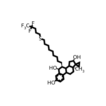 C[C@]12CCC3c4ccc(O)cc4[C@@H](O)[C@@H](CCCCCCCCCSCCCC(F)(F)C(F)(F)F)C3C1C[C@@H](O)C21CC1